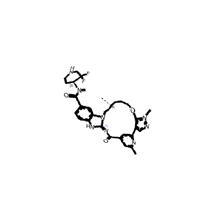 Cc1cc2cc(n1)-c1cnn(C)c1OCCC[C@@H](C)CN1/C(=N/C2=O)Nc2ccc(C(=O)N(C)[C@H]3CCNCC3(F)F)cc21